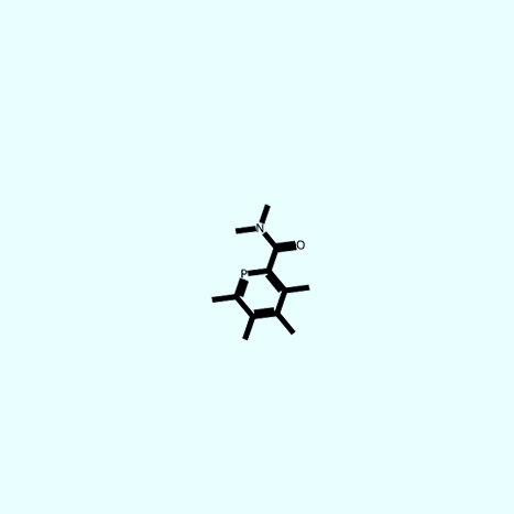 Cc1pc(C(=O)N(C)C)c(C)c(C)c1C